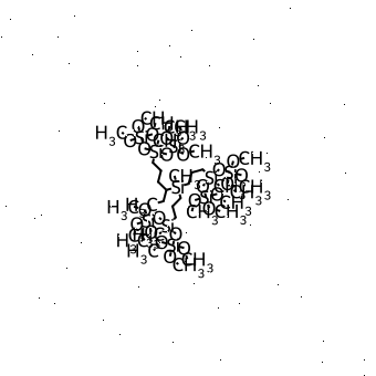 CCC(CCC[Si](C)(O[Si](OC)(OC)OC)O[Si](OC)(OC)OC)[Si](C)(CCC[Si](C)(O[Si](OC)(OC)OC)O[Si](OC)(OC)OC)CCC[Si](C)(O[Si](OC)(OC)OC)O[Si](OC)(OC)OC